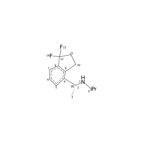 CC(C)N[C@H](C)c1cccc2c1CCC2(F)F